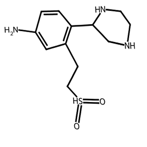 Nc1ccc(C2CNCCN2)c(CC[SH](=O)=O)c1